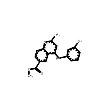 COC(=O)c1ccc2nc(C)cc(Nc3cccc(O)c3)c2c1